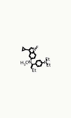 CC/C=C(\c1ccc(N(CC)CC)cc1)N(C)c1ccc2c(c1)c(C1CC1)cn2F